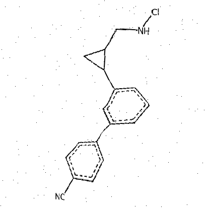 N#Cc1ccc(-c2cccc(C3CC3CNCl)c2)cc1